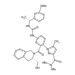 CCCCN(CCCC)C(=O)c1cc(C)n(-c2ccc(NC(=O)N[C@H](C)c3cccc(OC)c3)cc2C(=O)N2Cc3ccccc3C[C@H]2CO)n1